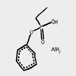 CCP(=O)(O)Oc1ccccc1.[AlH3]